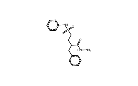 NNC(=O)C(CCS(=O)(=O)Nc1ccccc1)Cc1ccccc1